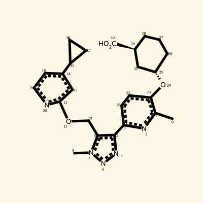 Cc1nc(-c2nnn(C)c2COc2cc(C3CC3)ccn2)ccc1O[C@H]1CCC[C@H](C(=O)O)C1